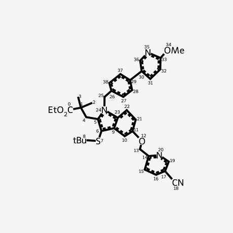 CCOC(=O)C(C)(C)Cc1c(SC(C)(C)C)c2cc(OCc3ccc(C#N)cn3)ccc2n1Cc1ccc(-c2ccc(OC)nc2)cc1